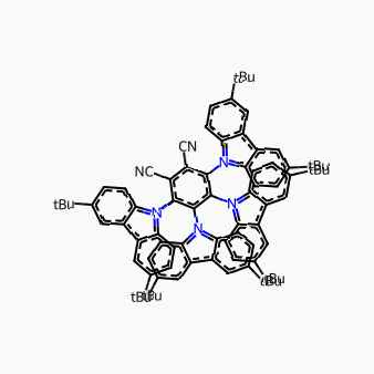 CC(C)(C)c1ccc2c(c1)c1cc(C(C)(C)C)ccc1n2-c1c(C#N)c(C#N)c(-n2c3ccc(C(C)(C)C)cc3c3cc(C(C)(C)C)ccc32)c(-n2c3ccc(C(C)(C)C)cc3c3cc(C(C)(C)C)ccc32)c1-n1c2ccc(C(C)(C)C)cc2c2cc(C(C)(C)C)ccc21